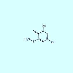 CC(=O)C1C=C(Cl)C=C(SN)C1=S